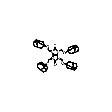 O=C1N(COC23CC4CC(CC(C4)C2)C3)C2C(N1COC13CC4CC(CC(C4)C1)C3)N(COC13CC4CC(CC(C4)C1)C3)C(=O)N2COC12CC3CC(CC(C3)C1)C2